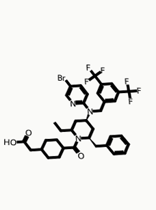 CCC1C[C@@H](N(Cc2cc(C(F)(F)F)cc(C(F)(F)F)c2)c2ccc(Br)cn2)C[C@@H](Cc2ccccc2)N1C(=O)C1CCC(CC(=O)O)CC1